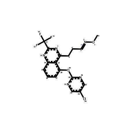 CO/N=C/CCc1nc(C(F)(F)F)nc2cccc(Oc3ncc(Cl)cn3)c12